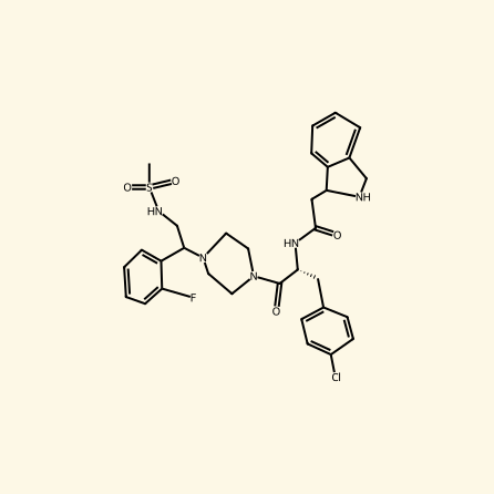 CS(=O)(=O)NCC(c1ccccc1F)N1CCN(C(=O)[C@@H](Cc2ccc(Cl)cc2)NC(=O)CC2NCc3ccccc32)CC1